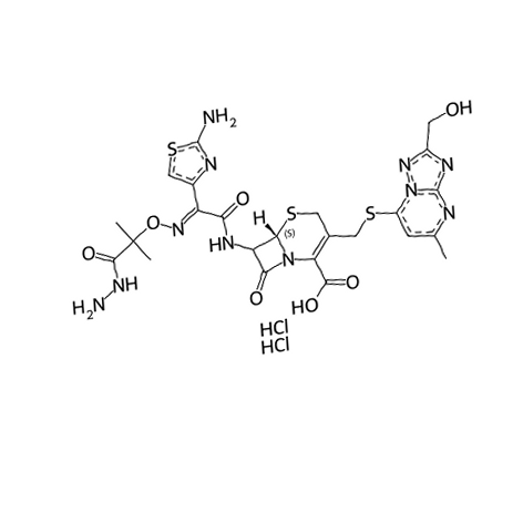 Cc1cc(SCC2=C(C(=O)O)N3C(=O)C(NC(=O)C(=NOC(C)(C)C(=O)NN)c4csc(N)n4)[C@@H]3SC2)n2nc(CO)nc2n1.Cl.Cl